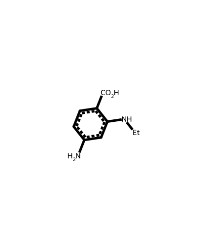 CCNc1cc(N)ccc1C(=O)O